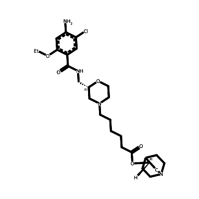 CCOc1cc(N)c(Cl)cc1C(=O)NC[C@H]1CN(CCCCCC(=O)O[C@H]2CN3CCC2CC3)CCO1